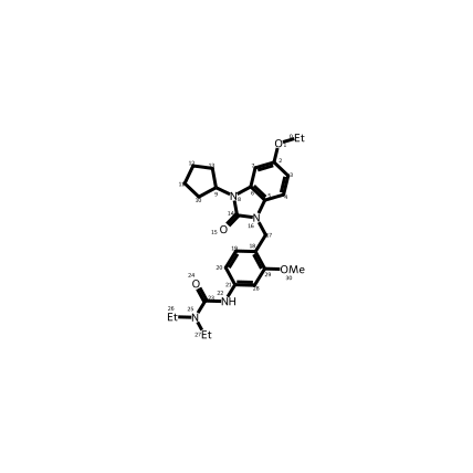 CCOc1ccc2c(c1)n(C1CCCC1)c(=O)n2Cc1ccc(NC(=O)N(CC)CC)cc1OC